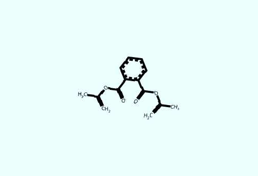 C=C(C)OC(=O)c1ccccc1C(=O)OC(=C)C